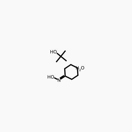 CC(C)(C)O.O.ON=C1CCCCC1